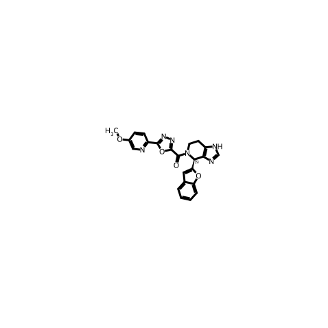 COc1ccc(-c2nnc(C(=O)N3CCc4[nH]cnc4[C@H]3c3cc4ccccc4o3)o2)nc1